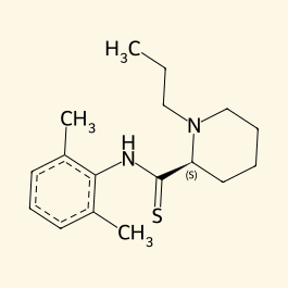 CCCN1CCCC[C@H]1C(=S)Nc1c(C)cccc1C